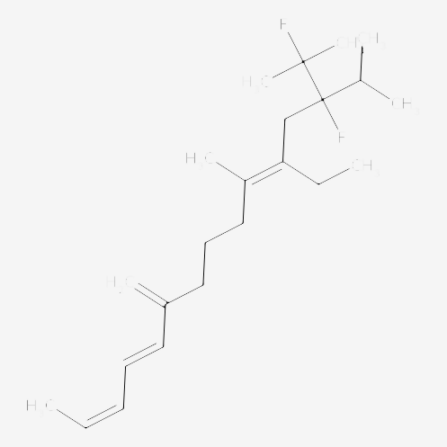 C=C(/C=C/C=C\C)CCC/C(C)=C(\CC)CC(F)(C(C)C)C(C)(C)F